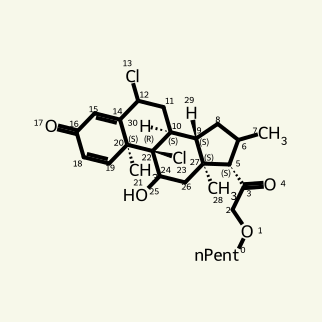 CCCCCOCC(=O)[C@H]1C(C)C[C@H]2[C@@H]3CC(Cl)C4=CC(=O)C=C[C@]4(C)[C@@]3(Cl)C(O)C[C@]12C